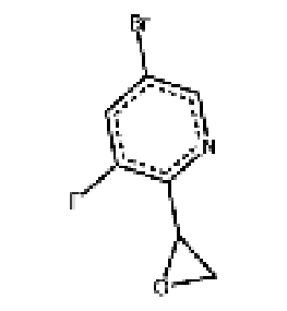 Fc1cc(Br)cnc1C1CO1